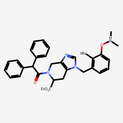 CCOC(=O)C1Cc2c(ncn2Cc2cccc(O[SiH](C)C)c2C(C)(C)C)CN1C(=O)C(c1ccccc1)c1ccccc1